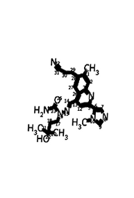 Cc1cc2nc(-c3cncn3C)cc(/C=N/N(CCC(C)(C)O)C(N)=O)c2cc1CCC#N